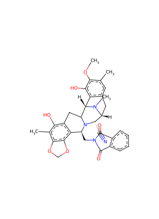 COc1c(C)cc2c(c1O)[C@H]1C3Cc4c(O)c(C)c5c(c4[C@H](CN4C(=O)c6ccccc6C4=O)N3[C@@H](C#N)[C@@H](C2)N1C)OCO5